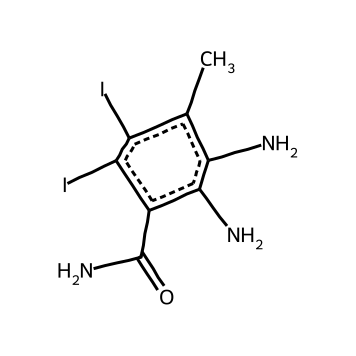 Cc1c(N)c(N)c(C(N)=O)c(I)c1I